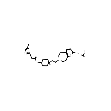 Cc1cnc(CC(=O)NC2CCC(F)(CCN3CCc4ccc(OCC(F)F)nc4CC3)CC2)o1